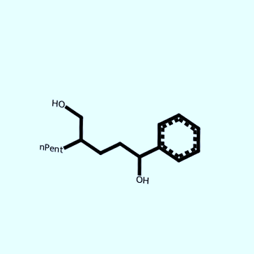 CCCCCC(CO)CCC(O)c1ccccc1